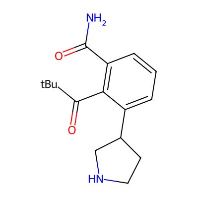 CC(C)(C)C(=O)c1c(C(N)=O)cccc1C1CCNC1